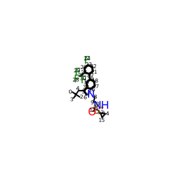 CC(C)(C)Cc1cn(CCN[S+]([O-])C2CC2)c2ccc(-c3ccc(F)cc3C(F)(F)F)cc12